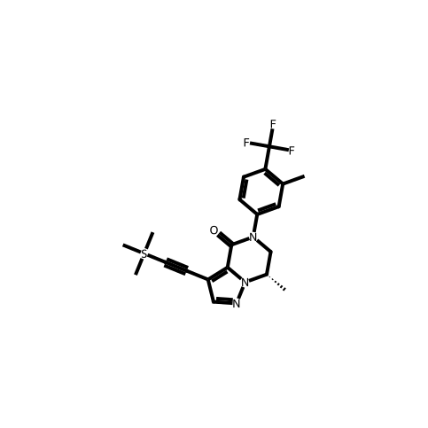 Cc1cc(N2C[C@H](C)n3ncc(C#CS(C)(C)C)c3C2=O)ccc1C(F)(F)F